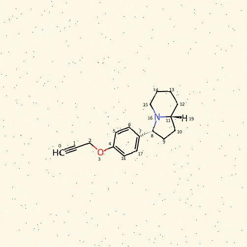 C#CCOc1ccc([C@H]2CC[C@H]3CCCCN32)cc1